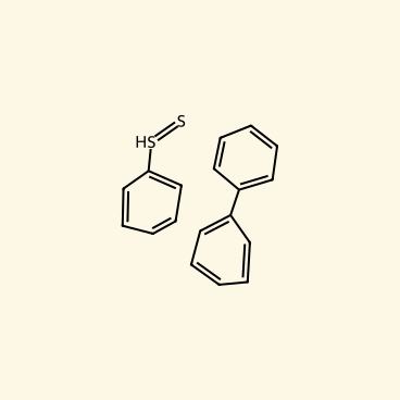 S=[SH]c1ccccc1.c1ccc(-c2ccccc2)cc1